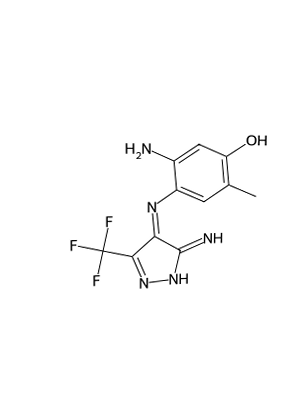 Cc1cc(N=C2C(=N)NN=C2C(F)(F)F)c(N)cc1O